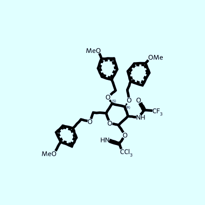 COc1ccc(COCC2OC(OC(=N)C(Cl)(Cl)Cl)C(NC(=O)C(F)(F)F)[C@@H](OCc3ccc(OC)cc3)[C@@H]2OCc2ccc(OC)cc2)cc1